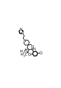 CC1(C)Oc2ccc(Cl)cc2[C@H]2OCC3(CCN(CCn4ccnc4)CC3)C[C@@H]21